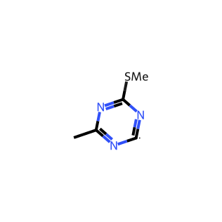 CSc1n[c]nc(C)n1